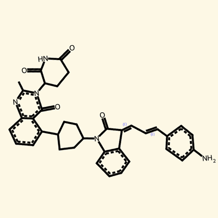 Cc1nc2cccc(C3CCC(N4C(=O)/C(=C/C=C/c5ccc(N)cc5)c5ccccc54)CC3)c2c(=O)n1C1CCC(=O)NC1=O